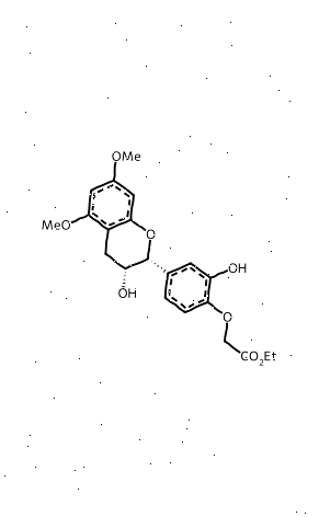 CCOC(=O)COc1ccc([C@H]2Oc3cc(OC)cc(OC)c3C[C@H]2O)cc1O